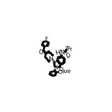 COc1ccccc1N(CCN1CCC(C(=O)c2ccc(F)cc2)CC1)C(=O)c1ccc(NC(=O)C(C)C)cc1